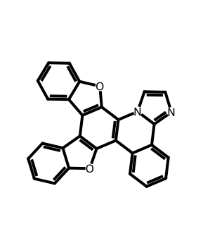 c1ccc2c(c1)oc1c2c2c3ccccc3oc2c2c1c1ccccc1c1nccn12